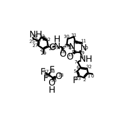 Cc1cc(F)cc(CNc2ncc3n(c2=O)[C@H](C(=O)NCc2ccc(CN)cc2C)CC3)c1.O=C(O)C(F)(F)F